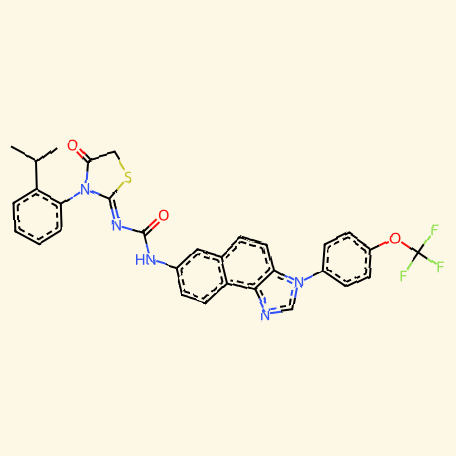 CC(C)c1ccccc1N1C(=O)CSC1=NC(=O)Nc1ccc2c(ccc3c2ncn3-c2ccc(OC(F)(F)F)cc2)c1